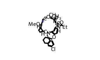 CCC(=O)N[S@]1(=O)=NC(=O)C(C)(C)OC/C=C/[C@H](OC)[C@@H]2CC[C@H]2CN2C[C@@]3(CCCc4cc(Cl)ccc43)COc3ccc1cc32